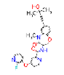 CN1C(=O)C(NC(=O)c2cc(Oc3cccnc3F)ccn2)COc2ccc(C#CC(C)(C)O)cc21